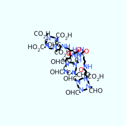 NC(=O)[C@H](CCCCNC(=O)CCC(C(=O)O)N1CCN(CC=O)CCN(CC=O)CCN(CC=O)CC1)NC(=O)[C@H](CCCCNC(C=O)CC(C(=O)O)N1CCN(CC(=O)O)CCN(CC(=O)O)CCN(CC(=O)O)CC1)NC(=O)CCC(C=O)N1CCN(CC=O)CCN(CC=O)CCN(CC(=O)O)CC1